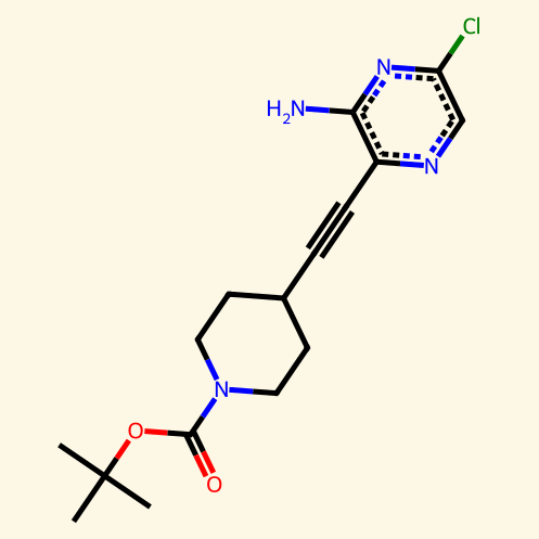 CC(C)(C)OC(=O)N1CCC(C#Cc2ncc(Cl)nc2N)CC1